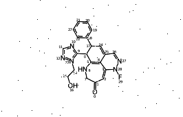 O=C1C=C2C3=C(NC1)C(c1ncnn1CCO)C(c1ccccc1)C=C3C=NN2F